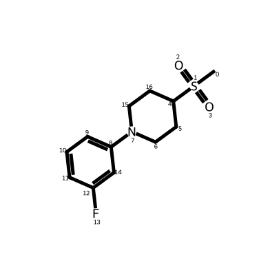 CS(=O)(=O)C1CCN(c2cccc(F)c2)CC1